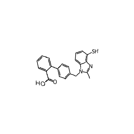 Cc1nc2c(S)cccc2n1Cc1ccc(-c2ccccc2C(=O)O)cc1